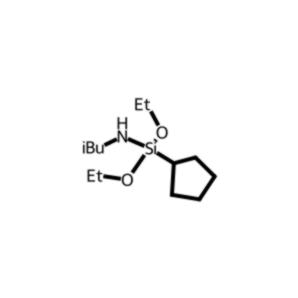 CCO[Si](NC(C)CC)(OCC)C1CCCC1